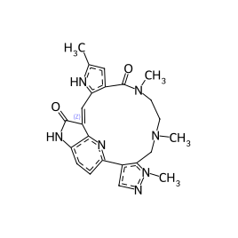 Cc1cc2c([nH]1)/C=C1\C(=O)Nc3ccc(nc31)-c1cnn(C)c1CN(C)CCN(C)C2=O